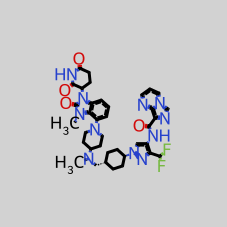 CN(C[C@H]1CC[C@H](n2cc(NC(=O)c3ncn4cccnc34)c(C(F)F)n2)CC1)C1CCN(c2cccc3c2n(C)c(=O)n3C2CCC(=O)NC2=O)CC1